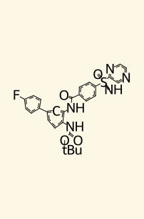 CC(C)(C)OC(=O)Nc1ccc(-c2ccc(F)cc2)cc1NC(=O)c1ccc(S(=N)(=O)c2cnccn2)cc1